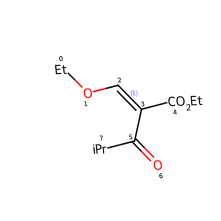 CCO/C=C(/C(=O)OCC)C(=O)C(C)C